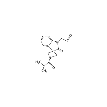 CC(C)C(=O)N1CC2(C1)C(=O)N(CC=O)c1ccccc12